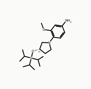 COc1cc(N)ccc1N1CC[C@H](O[Si](C(C)C)(C(C)C)C(C)C)C1